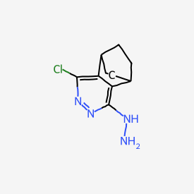 NNc1nnc(Cl)c2c1C1CCC2CC1